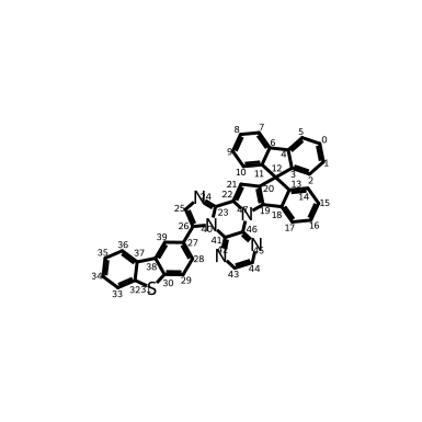 c1ccc2c(c1)-c1ccccc1C21c2ccccc2-c2c1cc1c3ncc(-c4ccc5sc6ccccc6c5c4)n3c3nccnc3n21